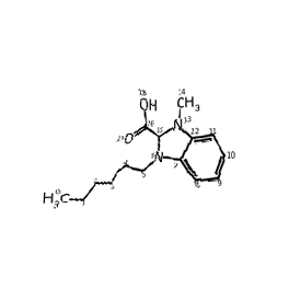 CCCCCCN1c2ccccc2N(C)C1C(=O)O